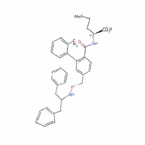 CSCC[C@H](NC(=O)c1ccc(CONC(Cc2ccccc2)Cc2ccccc2)cc1-c1ccccc1C)C(=O)O